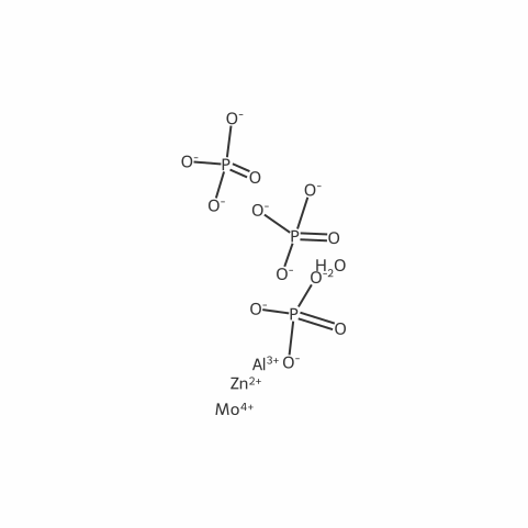 O.O=P([O-])([O-])[O-].O=P([O-])([O-])[O-].O=P([O-])([O-])[O-].[Al+3].[Mo+4].[Zn+2]